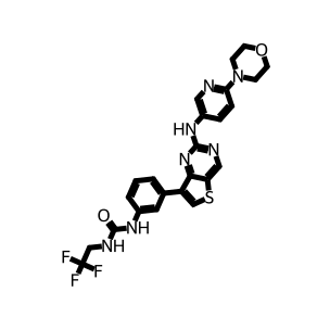 O=C(NCC(F)(F)F)Nc1cccc(-c2csc3cnc(Nc4ccc(N5CCOCC5)nc4)nc23)c1